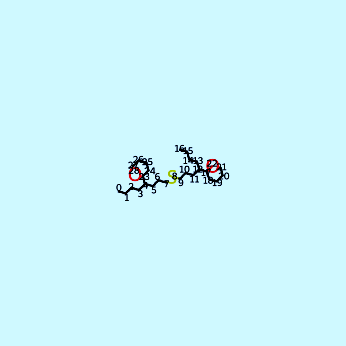 CCCCC(CCCSCCCC(CCCC)C1CCCCO1)C1CCCCO1